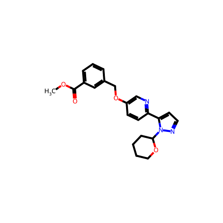 COC(=O)c1cccc(COc2ccc(-c3ccnn3C3CCCCO3)nc2)c1